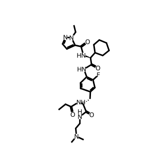 CCC(=O)N[C@H](Cc1ccc(NC(=O)[C@@H](NC(=O)c2ccnn2CC)C2CCCCC2)c(F)c1)C(=O)NCCN(C)C